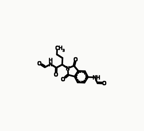 CCCC(C(=O)NC=O)N1C(=O)c2ccc(NC=O)cc2C1=O